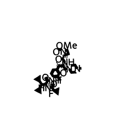 COC(=O)N1CC[C@H]1C(=O)N[C@@H](C(=O)N1CCN(C)CC1)[C@@H](C)c1ccc(NC(=O)[C@@H](NC(=O)C2(F)CC2)C(C2CC2)C2CC2)c(F)c1